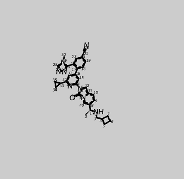 C[C@H](NCC1CCC1)c1ccc2cn(-c3cc(-c4ccc(C#N)cc4-c4nncn4C)cc(C4CC4)n3)c(=O)n2c1